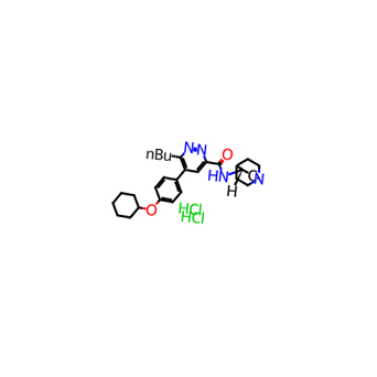 CCCCc1nnc(C(=O)N[C@H]2CN3CCC2CC3)cc1-c1ccc(OC2CCCCC2)cc1.Cl.Cl